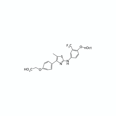 CCCCCCCCOc1ccc(Nc2nc(-c3ccc(OCC(=O)O)cc3)c(C)s2)cc1C(F)(F)F